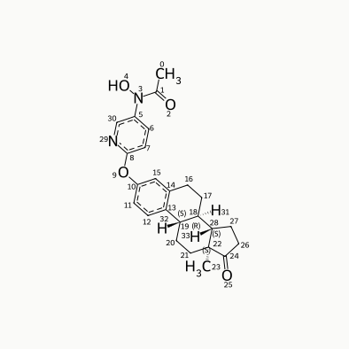 CC(=O)N(O)c1ccc(Oc2ccc3c(c2)CC[C@@H]2[C@@H]3CC[C@]3(C)C(=O)CC[C@@H]23)nc1